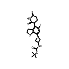 CC(C)(C)OC(=O)NC1CN(c2cc(F)c(C3CCC(=O)NC3=O)c3c2OCC3)C1